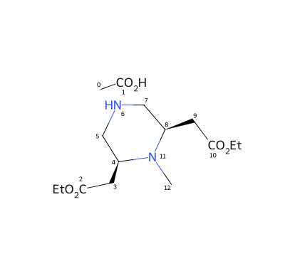 CC(=O)O.CCOC(=O)C[C@H]1CNC[C@@H](CC(=O)OCC)N1C